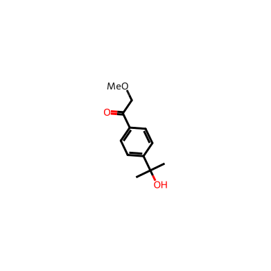 COCC(=O)c1ccc(C(C)(C)O)cc1